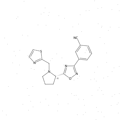 N#Cc1cccc(-c2noc([C@@H]3CCCN3Cc3nccs3)n2)c1